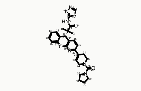 CC(C)(C(=O)Nc1nncs1)[C@H]1c2ccccc2Oc2nc(C3=CCN(C(=O)N4CCCC4)CC3)ccc21